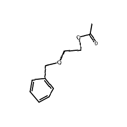 CC(=O)OCCOCc1ccccc1